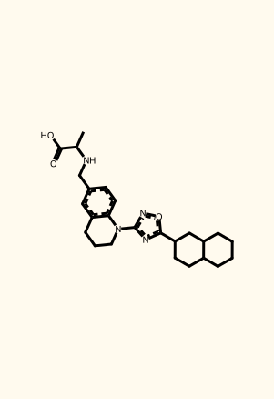 CC(NCc1ccc2c(c1)CCCN2c1noc(C2CCC3CCCCC3C2)n1)C(=O)O